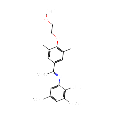 CN/C(=N\c1cc(OC)cc(OC)c1C=O)c1cc(C)c(OCCOC=O)c(C)c1